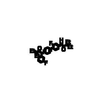 CCC(CC)C(=O)Nc1ccc(N2CCN(C(C(=O)N(CC)CC)c3cccc(F)c3)CC2)c(F)c1